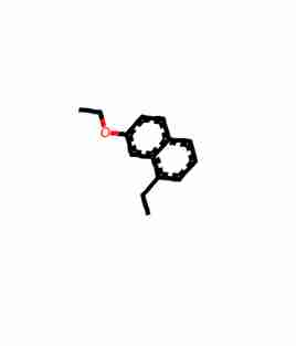 CCOc1ccc2cccc(CC)c2c1